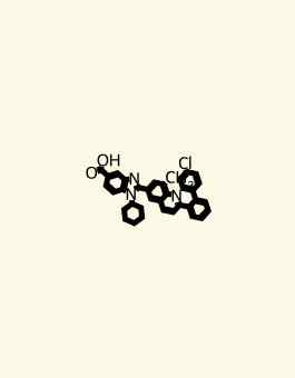 Cc1cc(-c2nc3cc(C(=O)O)ccc3n2C2CCCCC2)cc2ccc(-c3ccccc3-c3ccc(Cl)cc3)nc12